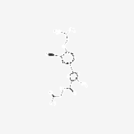 Cc1nc(-c2ccc(OCC(C)C)c(C#N)c2)sc1C(=O)NCC(=O)O